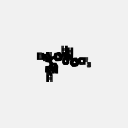 CCn1cc(-c2ccnc3[nH]ccc23)c(-c2ccc(NC(=O)Nc3cccc(C(F)(F)F)c3)cc2)n1